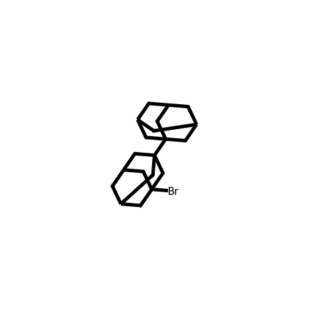 BrC12CC3CC(C1)CC(C14CC5CC(CC(C5)C1)C4)(C3)C2